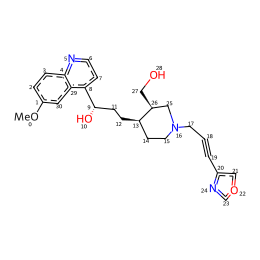 COc1ccc2nccc([C@@H](O)CC[C@@H]3CCN(CC#Cc4cocn4)C[C@@H]3CO)c2c1